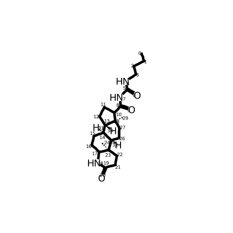 CCCCNC(=O)NC(=O)C1CC[C@H]2[C@@H]3CCC4NC(=O)CC[C@]4(C)[C@@H]3CC[C@]12C